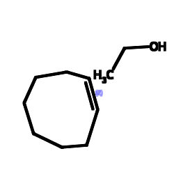 C1=C\CCCCCC/1.CCO